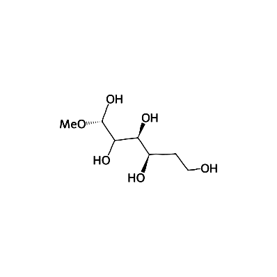 CO[C@H](O)C(O)[C@@H](O)[C@H](O)CCO